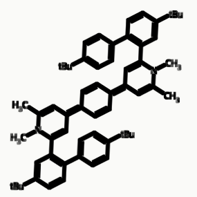 CC1=CC(=c2ccc(=C3C=C(C)N(C)C(c4cc(C(C)(C)C)ccc4-c4ccc(C(C)(C)C)cc4)=C3)cc2)C=C(c2cc(C(C)(C)C)ccc2-c2ccc(C(C)(C)C)cc2)N1C